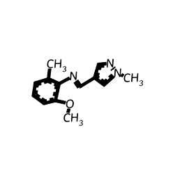 COc1cccc(C)c1N=Cc1cnn(C)c1